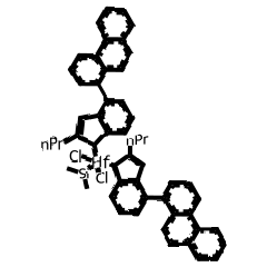 CCCC1=Cc2c(-c3cccc4c3ccc3ccccc34)cccc2[CH]1[Hf]([Cl])([Cl])([CH]1C(CCC)=Cc2c(-c3cccc4c3ccc3ccccc34)cccc21)=[Si](C)C